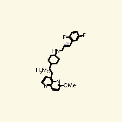 COc1ccc2nccc(C[C@H](N)C3CCC(NC/C=C/c4cc(F)ccc4F)CC3)c2n1